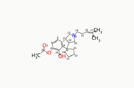 CC(=O)Oc1cccc(C2(C3CCN(CCC=C(C)C)C3)CCCC2)c1O